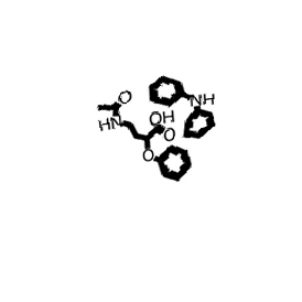 CC(=O)NCCC(Oc1ccccc1)C(=O)O.c1ccc(Nc2ccccc2)cc1